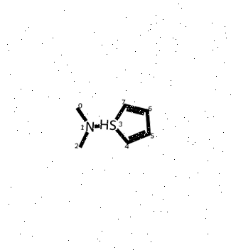 CN(C)[SH]1C=CC=C1